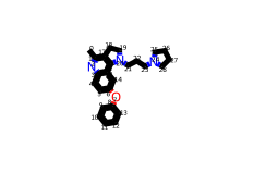 Cc1nc2ccc(Oc3ccccc3)cc2c2c1CCN2CCCN1CCCC1